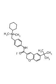 CC(C)(C)c1ccc2c(c1)C=C(C(=O)Nc1ccc(C[N+](C)(C)C3CCCCC3)cc1)CO2.[I-]